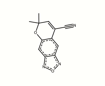 CC1(C)C=C(C#N)c2cc3nonc3cc2O1